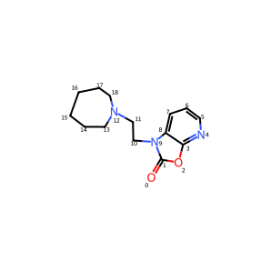 O=c1oc2ncccc2n1CCN1CCCCCC1